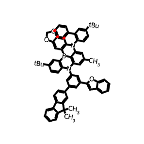 Cc1cc2c3c(c1)N(c1ccc(C(C)(C)C)cc1-c1ccccc1)c1cc4c(cc1B3c1cc(C(C)(C)C)ccc1N2c1cc(-c2ccc3c(c2)C(C)(C)c2ccccc2-3)cc(-c2cc3ccccc3o2)c1)OCO4